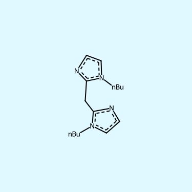 CCCCn1ccnc1Cc1nccn1CCCC